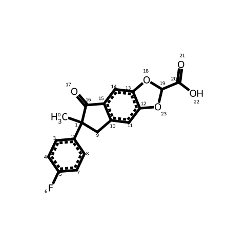 CC1(c2ccc(F)cc2)Cc2cc3c(cc2C1=O)OC(C(=O)O)O3